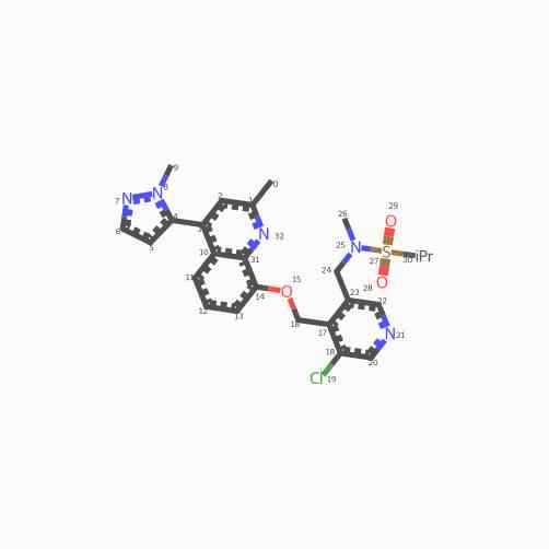 Cc1cc(-c2ccnn2C)c2cccc(OCc3c(Cl)cncc3CN(C)S(=O)(=O)C(C)C)c2n1